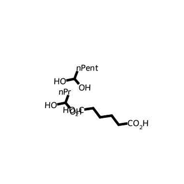 CCCC(O)O.CCCCCC(O)O.O=C(O)CCCCC(=O)O